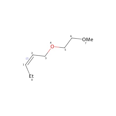 CC/C=C\COCCOC